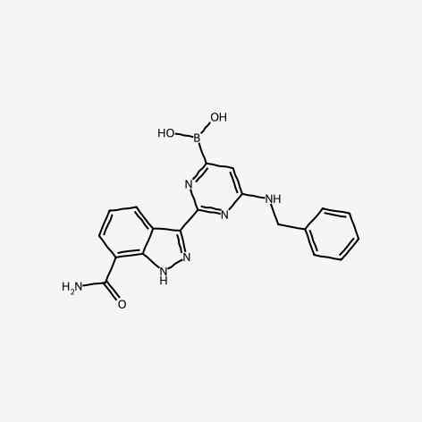 NC(=O)c1cccc2c(-c3nc(NCc4ccccc4)cc(B(O)O)n3)n[nH]c12